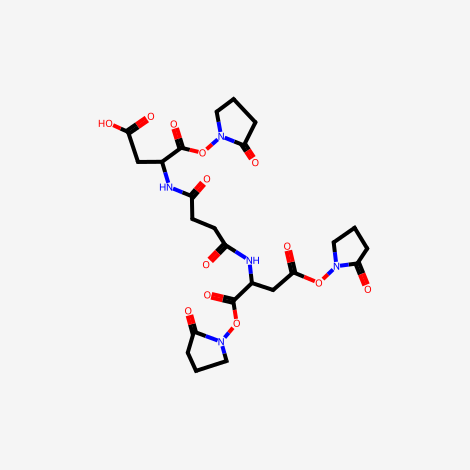 O=C(O)CC(NC(=O)CCC(=O)NC(CC(=O)ON1CCCC1=O)C(=O)ON1CCCC1=O)C(=O)ON1CCCC1=O